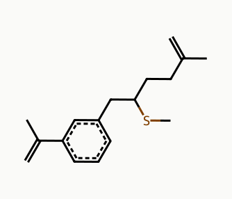 C=C(C)CCC(Cc1cccc(C(=C)C)c1)SC